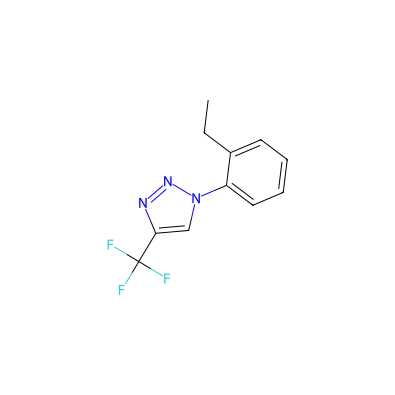 CCc1ccccc1-n1cc(C(F)(F)F)nn1